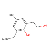 COCc1cc(C(C)(C)C)cc(CCO)c1O